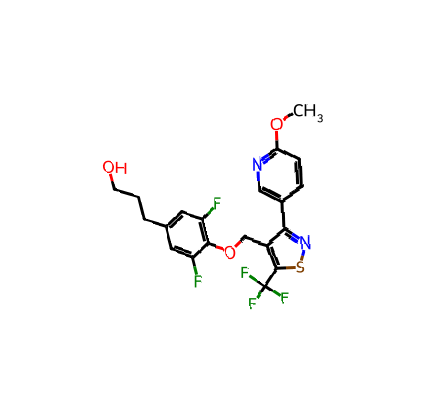 COc1ccc(-c2nsc(C(F)(F)F)c2COc2c(F)cc(CCCO)cc2F)cn1